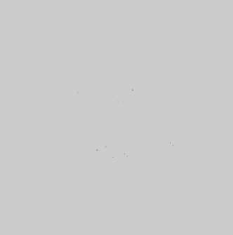 COc1ccc(COc2ccc(C(=O)N3CCC4(CCN(C)CC4)CC3)c(Cl)c2OCc2ccc(OC)cc2)cc1